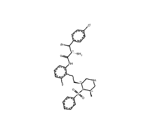 CC(C)C(c1ccc(Cl)cc1)[C@H](N)C(=O)Nc1cccc(F)c1CC[C@H]1CNC[C@@H](C)N1S(=O)(=O)c1ccccc1